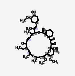 CC[C@@H]1/C=C(\C)C[C@H](C)C[C@H](OC)[C@H]2O[C@@](O)(C(=O)C(=O)N3CCCC[C@H]3C(=O)O[C@H](/C(C)=C/[C@@H]3CC[C@@H](O)[C@H](OC)C3)[C@H](C)/C=C/C1=O)[C@H](C)C[C@@H]2OC